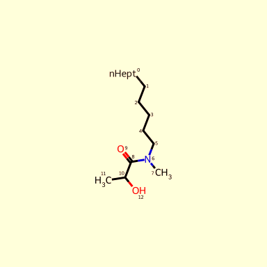 CCCCCCCCCCCCN(C)C(=O)C(C)O